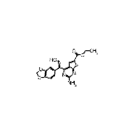 CCOC(=O)c1cc2c(C(=NO)c3ccc4c(c3)OCO4)nc(N)nc2s1